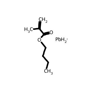 C=C(C)C(=O)OCCCC.[PbH2]